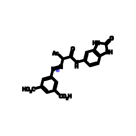 CC(=O)C(/N=N/c1cc(C(=O)O)cc(C(=O)O)c1)C(=O)Nc1ccc2[nH]c(=O)[nH]c2c1